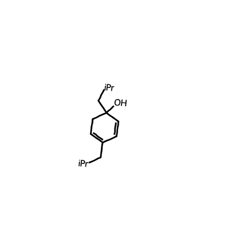 CC(C)CC1=CCC(O)(CC(C)C)C=C1